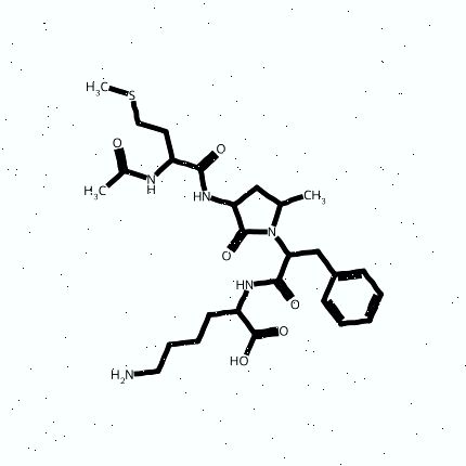 CSCCC(NC(C)=O)C(=O)NC1CC(C)N(C(Cc2ccccc2)C(=O)NC(CCCCN)C(=O)O)C1=O